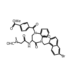 COC(=O)c1ccc(C(=O)N2CC(NC(=O)CN(C)C=O)C(=O)N(Cc3c(OC)ccc4cc(Br)ccc34)c3ccccc32)cc1